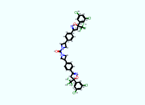 O=C(N1CC(c2ccc(C3=NOC(c4cc(Cl)cc(Cl)c4)(C(F)(F)F)C3)cc2)C1)N1CC(c2ccc(C3=NOC(c4cc(Cl)cc(Cl)c4)(C(F)(F)F)C3)cc2)C1